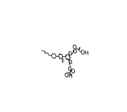 C=C(CO)C(=O)OCCOc1cc(OCCOC(=O)C(=C)CO)cc(-c2ccc(C3CCC(CC/C=C/C)CC3)cc2F)c1